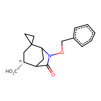 O=C(O)[C@@H]1CC2(CC2)C2CC1C(=O)N2OCc1ccccc1